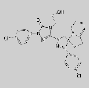 O=c1n(-c2ccc(Cl)cc2)nc(N2C[C@]3(CCc4ccccc43)C(c3ccc(Cl)cc3)=N2)n1CCO